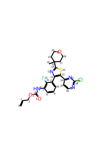 C=CCOC(=O)Nc1cccc(-c2nc(C3(C)CCOCC3)sc2-c2ccnc(Cl)n2)c1F